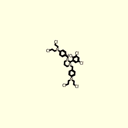 Oc1c(Cl)cc(Cl)cc1C1N(Cc2ccc(N(CCCl)CCCl)cc2)CCCN1Cc1ccc(N(CCCl)CCCl)cc1